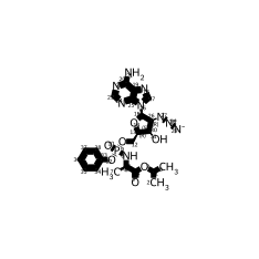 CC(C)OC(=O)[C@@H](C)NP(=O)(OC[C@H]1O[C@@H](n2cnc3c(N)ncnc32)[C@H](N=[N+]=[N-])[C@@H]1O)Oc1ccccc1